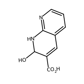 O=C(O)C1=Cc2cccnc2NC1O